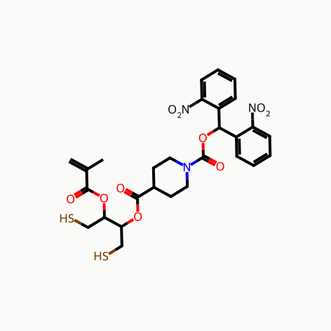 C=C(C)C(=O)OC(CS)C(CS)OC(=O)C1CCN(C(=O)OC(c2ccccc2[N+](=O)[O-])c2ccccc2[N+](=O)[O-])CC1